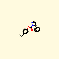 O=C(Oc1ccc([N+](=O)[O-])cc1)N1N=CC[C@H]1C12CCC(CC1)C2